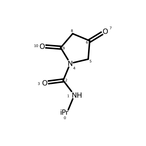 CC(C)NC(=O)N1CC(=O)CC1=O